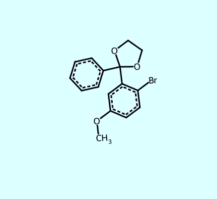 COc1ccc(Br)c(C2(c3ccccc3)OCCO2)c1